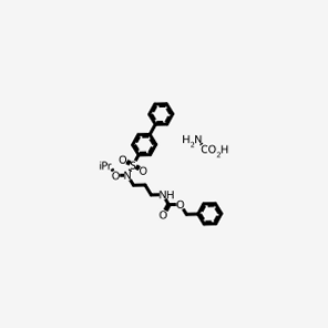 CC(C)ON(CCCNC(=O)OCc1ccccc1)S(=O)(=O)c1ccc(-c2ccccc2)cc1.NC(=O)O